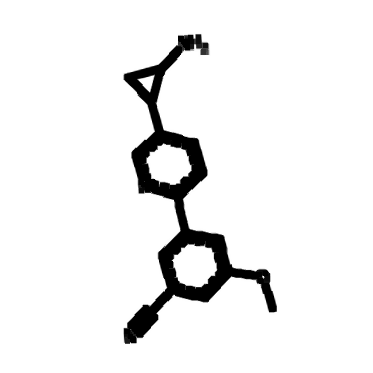 COc1cc(C#N)cc(-c2ccc(C3CC3N)cn2)c1